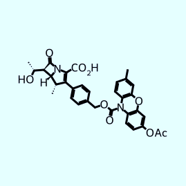 CC(=O)Oc1ccc2c(c1)Oc1cc(C)ccc1N2C(=O)OCc1ccc(C2=C(C(=O)O)N3C(=O)[C@H]([C@@H](C)O)[C@H]3[C@H]2C)cc1